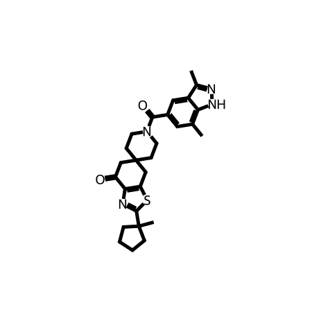 Cc1n[nH]c2c(C)cc(C(=O)N3CCC4(CC3)CC(=O)c3nc(C5(C)CCCC5)sc3C4)cc12